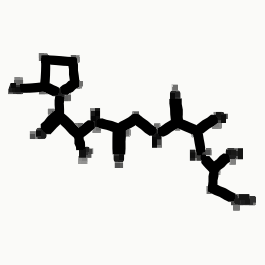 CNCC(O)NC(C(=O)NCC(=O)NC(C(=O)N1CCCC1C(C)=O)C(C)C)C(C)C